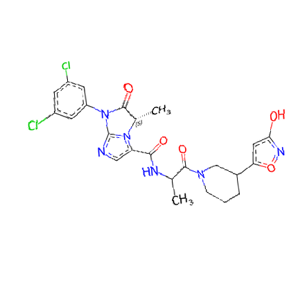 CC(NC(=O)c1cnc2n1[C@@H](C)C(=O)N2c1cc(Cl)cc(Cl)c1)C(=O)N1CCCC(c2cc(O)no2)C1